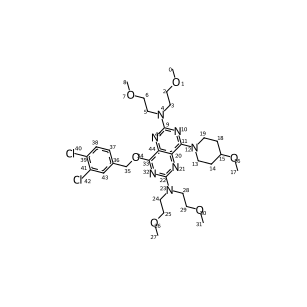 COCCN(CCOC)c1nc(N2CCC(OC)CC2)c2nc(N(CCOC)CCOC)nc(OCc3ccc(Cl)c(Cl)c3)c2n1